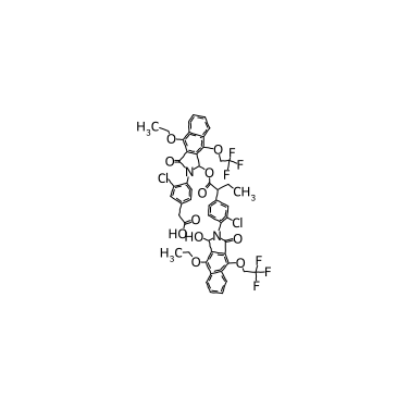 CCOc1c2c(c(OCC(F)(F)F)c3ccccc13)C(OC(=O)C(CC)c1ccc(N3C(=O)c4c(c(OCC)c5ccccc5c4OCC(F)(F)F)C3O)c(Cl)c1)N(c1ccc(CC(=O)O)cc1Cl)C2=O